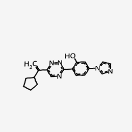 C=C(c1cnc(-c2ccc(-n3ccnc3)cc2O)nn1)C1CCCC1